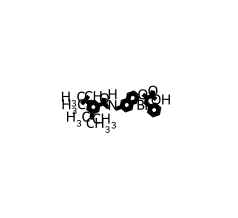 CC(C)(C)c1cc(C(=O)CNCc2ccc3c(Br)c(OC(Cc4ccccc4)C(=O)O)ccc3c2)cc(C(C)(C)C)c1